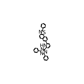 C1=CC(c2nc(-c3ccccc3)nc(-c3ccccc3)n2)NC(c2ccc3c(ccc4nc(-c5ccccc5)sc43)c2)=C1